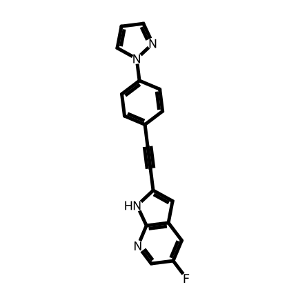 Fc1cnc2[nH]c(C#Cc3ccc(-n4cccn4)cc3)cc2c1